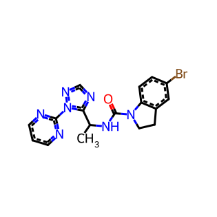 CC(NC(=O)N1CCc2cc(Br)ccc21)c1ncnn1-c1ncccn1